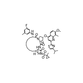 COc1ccc2c(O[C@@H]3C[C@H]4C(=O)N[C@]5(C(=O)NS(=O)(=O)C6(C)CC6)C[C@H]5CCCCCCC[C@H](Nc5cc(C)cc(F)c5)C(=O)N4C3)cc(-c3nc(C(C)C)cs3)nc2c1C